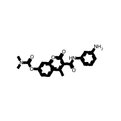 Cc1c(C(=O)Nc2cccc(N)c2)c(=O)oc2cc(OC(=O)N(C)C)ccc12